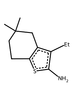 CCc1c(N)sc2c1CC(C)(C)CC2